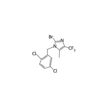 Cc1c(C(F)(F)F)nc(Br)n1Cc1cc(Cl)ccc1Cl